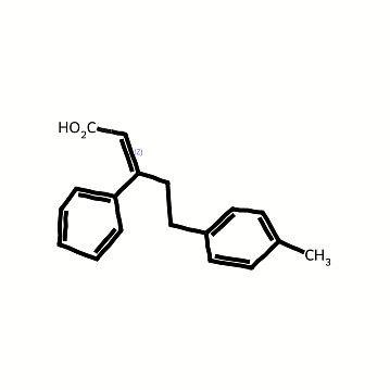 Cc1ccc(CC/C(=C/C(=O)O)c2ccccc2)cc1